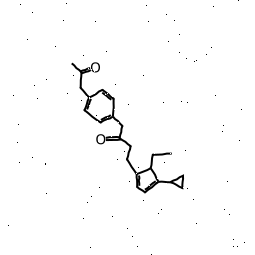 CCC1C(CCC(=O)Cc2ccc(CC(C)=O)cc2)=CC=C1C1CC1